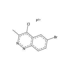 Cc1nnc2ccc(Br)cc2c1Cl.[P+5]